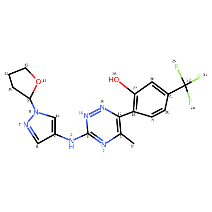 Cc1nc(Nc2cnn(C3CCCO3)c2)nnc1-c1ccc(C(F)(F)F)cc1O